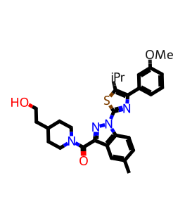 COc1cccc(-c2nc(-n3nc(C(=O)N4CCC(CCO)CC4)c4cc(C)ccc43)sc2C(C)C)c1